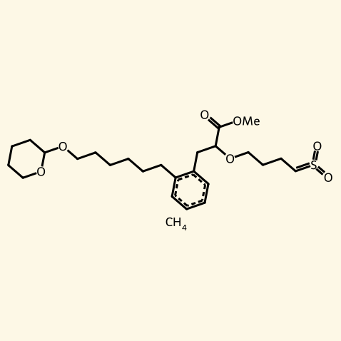 C.COC(=O)C(Cc1ccccc1CCCCCCOC1CCCCO1)OCCCC=S(=O)=O